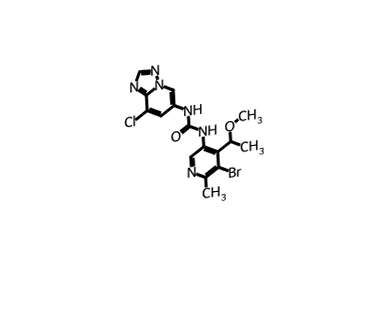 COC(C)c1c(NC(=O)Nc2cc(Cl)c3ncnn3c2)cnc(C)c1Br